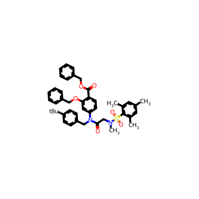 Cc1cc(C)c(S(=O)(=O)N(C)CC(=O)N(Cc2ccc(C(C)(C)C)cc2)c2ccc(C(=O)OCc3ccccc3)c(OCc3ccccc3)c2)c(C)c1